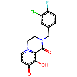 O=C1c2c(O)c(=O)ccn2CCN1Cc1ccc(F)c(Cl)c1